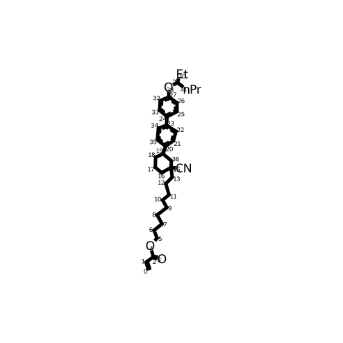 C=CC(=O)OCCCCCCCCCC1(C#N)CCCC(c2ccc(-c3ccc(OC(CC)CCC)cc3)cc2)C1